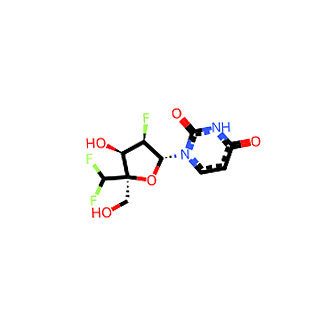 O=c1ccn([C@@H]2O[C@@](CO)(C(F)F)[C@@H](O)[C@H]2F)c(=O)[nH]1